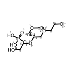 CCCCOCCCC.O=P(O)(O)O.OCCOCCOCCO